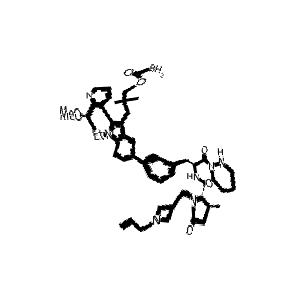 BC(=O)OCC(C)(C)Cc1c(-c2cccnc2[C@H](C)OC)n(CC)c2ccc(-c3cccc(C[C@H](NC(=O)[C@@H]4[C@@H](C)CC(=O)N4CC4CN(CC=C)C4)C(=O)N4CCCCN4)c3)cc12